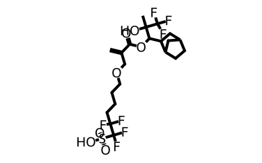 C=C(COCCCCC(F)(F)C(F)(F)S(=O)(=O)O)C(=O)OC(C1CC2CCC1C2)C(C)(O)C(F)(F)F